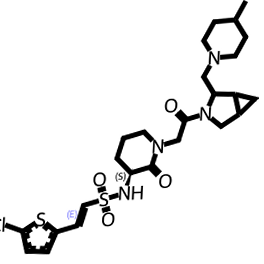 CC1CCN(CC2C3CC3CN2C(=O)CN2CCC[C@H](NS(=O)(=O)/C=C/c3ccc(Cl)s3)C2=O)CC1